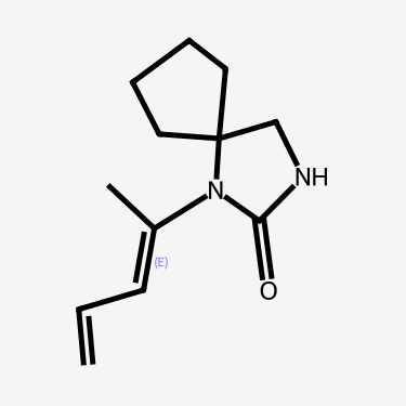 C=C/C=C(\C)N1C(=O)NCC12CCCC2